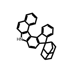 c1ccc2c(c1)-c1c(ccc3[nH]c4ccc5ccccc5c4c13)C21C2CC3CC(C2)CC1C3